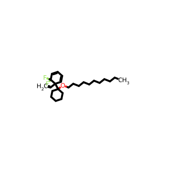 C=CC1(C2(OCCCCCCCCCCC)CCCCC2)C=CC=CC1(F)F